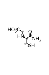 NC(=O)C(CS)NCC(=O)O